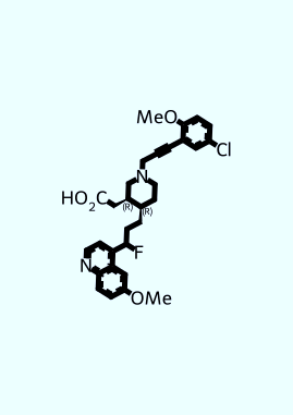 COc1ccc2nccc(C(F)CC[C@@H]3CCN(CC#Cc4cc(Cl)ccc4OC)C[C@@H]3CC(=O)O)c2c1